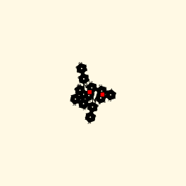 c1ccc(-c2ccc(N(c3ccc(-c4ccccc4)cc3)c3ccc4c(c3)C(c3ccccc3)(c3ccccc3)c3cccc(N(c5ccc(-c6ccccc6)cc5)c5ccc(-c6ccccc6)cc5)c3-4)cc2)cc1